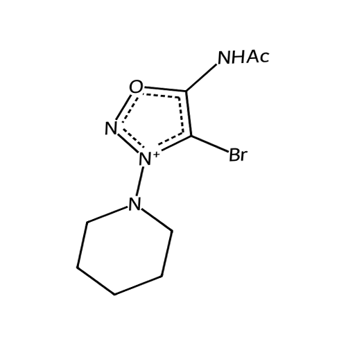 CC(=O)[N-]c1on[n+](N2CCCCC2)c1Br